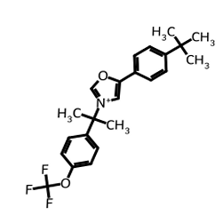 CC(C)(C)c1ccc(-c2c[n+](C(C)(C)c3ccc(OC(F)(F)F)cc3)co2)cc1